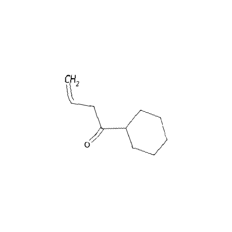 C=CCC(=O)C1CCCCC1